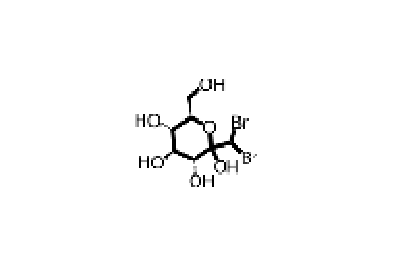 OC[C@H]1OC(O)(C(Br)Br)[C@H](O)[C@@H](O)[C@@H]1O